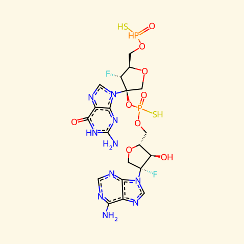 Nc1nc2c(ncn2[C@@]2(OP(=O)(S)OC[C@H]3OC[C@](F)(n4cnc5c(N)ncnc54)[C@@H]3O)CO[C@H](CO[PH](=O)S)[C@H]2F)c(=O)[nH]1